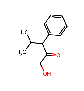 CC(C)C(C(=O)CO)c1ccccc1